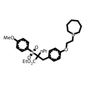 CCCC(Cc1ccc(OCCN2CCCCCC2)cc1)(C(=O)OCC)S(=O)(=O)c1ccc(OC)cc1